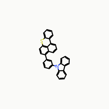 c1cc(-c2ccc3c4c(cccc24)-c2ccccc2S3)cc(-n2c3ccccc3c3ccccc32)c1